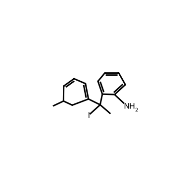 CC1C=CC=C(C(C)(I)c2ccccc2N)C1